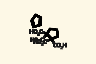 C1=CCC=C1.O=C(O)C1(C(=O)O)CCCC1(C(=O)O)C(=O)O